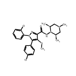 COc1c(C(=O)NN2[C@H](C)CN(C)C[C@@H]2C)nn(-c2ccccc2Cl)c1-c1ccc(Cl)cc1